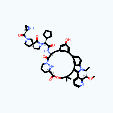 CCn1c(-c2cccnc2[C@H](C)OC)c2c3cc(ccc31)-c1cc(O)cc(c1)C[C@H](NC(=O)[C@H](C1CCCC1)N1CC[C@]3(CCN(C(=O)[C@H]4CN4)C3)C1=O)C(=O)N1CCC[C@H](N1)C(=O)OCC(C)(C)C2